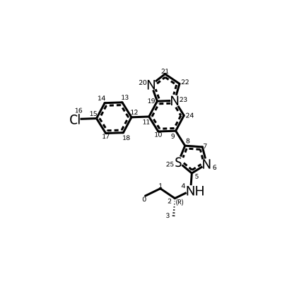 CC[C@@H](C)Nc1ncc(-c2cc(-c3ccc(Cl)cc3)c3nccn3c2)s1